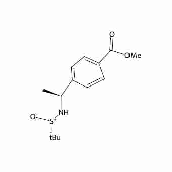 COC(=O)c1ccc([C@H](C)N[S@@+]([O-])C(C)(C)C)cc1